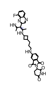 CC(=N)/C(=C(/C)NC1CC(CCCNc2ccc3c(c2)C(=O)N(C2CCC(=O)NC2=O)C3=O)C1)c1cnc2cccc(F)c2n1